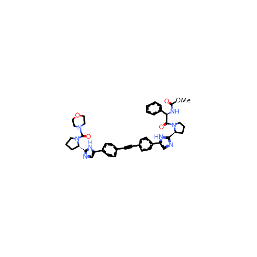 COC(=O)N[C@@H](C(=O)N1CCC[C@H]1c1ncc(-c2ccc(C#Cc3ccc(-c4cnc([C@@H]5CCCN5C(=O)N5CCOCC5)[nH]4)cc3)cc2)[nH]1)c1ccccc1